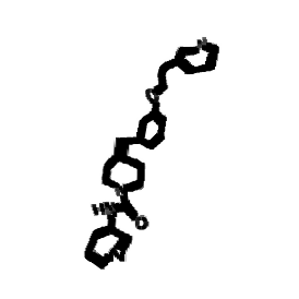 O=C(Nc1cccnc1)N1CCC(=Cc2cccc(OCCc3cccnc3)c2)CC1